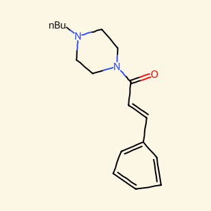 CCCCN1CCN(C(=O)C=Cc2ccccc2)CC1